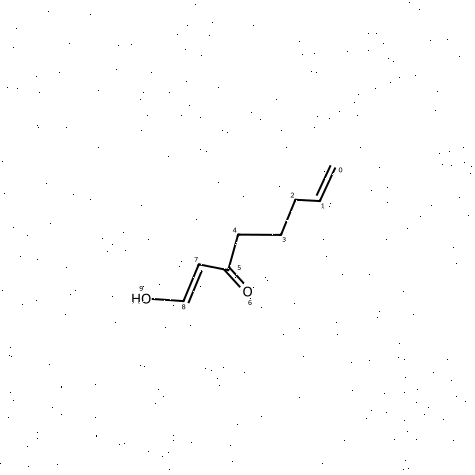 C=CCCCC(=O)C=CO